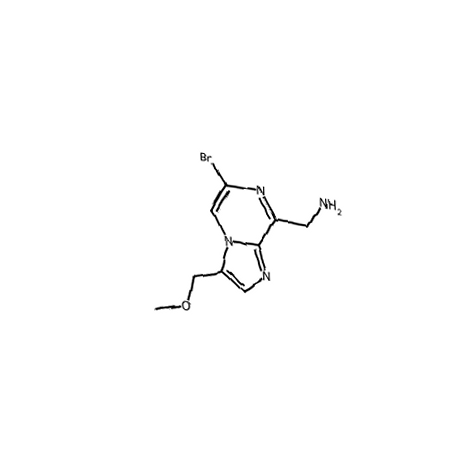 COCc1cnc2c(CN)nc(Br)cn12